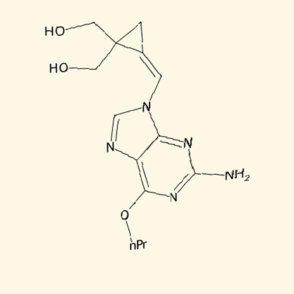 CCCOc1nc(N)nc2c1ncn2/C=C1/CC1(CO)CO